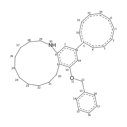 c1ccccc(-c2cc3c(c(OCc4ccccc4)c2)CCCCCCCCCCN3)cccc1